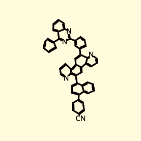 N#Cc1ccc(-c2ccc(-c3cc4c5cccnc5c(-c5cccc(-c6nc(-c7ccccc7)c7ccccc7n6)c5)cc4c4cccnc34)c3ccccc23)cc1